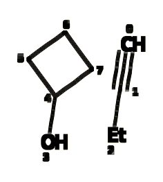 C#CCC.OC1CCC1